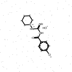 Cl.N=C(NC(=O)c1ccc(Cl)cc1)NN1CCCCC1